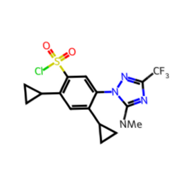 CNc1nc(C(F)(F)F)nn1-c1cc(S(=O)(=O)Cl)c(C2CC2)cc1C1CC1